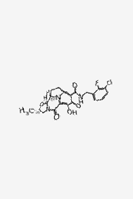 C[C@H]1CN2C(=O)c3c(O)c(=O)c(C(=O)NCc4cccc(Cl)c4F)c4n3[C@@H](CC4)[C@@H]2O1